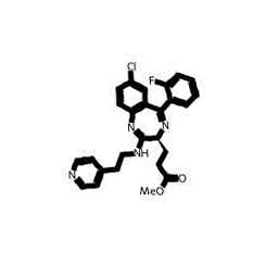 COC(=O)CC[C@@H]1N=C(c2ccccc2F)c2cc(Cl)ccc2N=C1NCCc1ccncc1